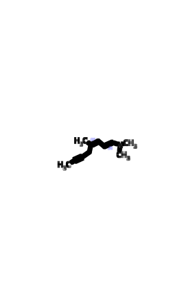 CC#CC/C(C)=C\C=C\N(C)C